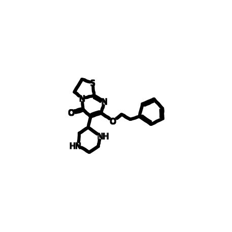 O=c1c(C2CNCCN2)c(OCCc2ccccc2)nc2n1CCS2